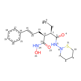 CC(C)C[C@@H](C(=O)NN1CCCCS1)[C@H](CC=Cc1ccccc1)C(=O)NO